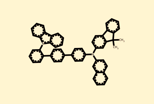 CC1(C)c2ccccc2-c2ccc(N(c3ccc(-c4ccc(-c5ccccc5-n5c6ccccc6c6ccccc65)cc4)cc3)c3ccc4ccccc4c3)cc21